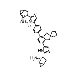 NN1C2CC2C[C@H]1c1ncc(-c2ccc(-c3ccc(-c4cnc([C@@H]5CC6CC6N5N)[nH]4)c4c3CC3(CCCC3)C4)cc2)[nH]1